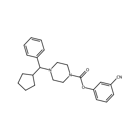 N#Cc1cccc(OC(=O)N2CCN(C(c3ccccc3)C3CCCC3)CC2)c1